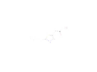 [CH2]Sc1ncc(CC(=O)O)s1